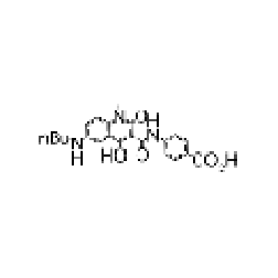 CCCCNc1ccc2c(c1)c(O)c(C(=O)Nc1ccc(C(=O)O)cc1)c(=O)n2C